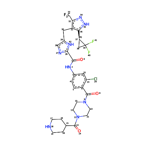 O=C(Nc1ccc(C(=O)N2CCN(C(=O)C3CCNCC3)CC2)c(Cl)c1)c1ncc(Cc2c(C(F)(F)F)n[nH]c2[C@@H]2CC2(F)F)[nH]1